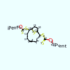 CCCC(C)OC(=S)SC1CC/C=C/CCC(SC(=S)OC(C)CCC)C2CCC1S2